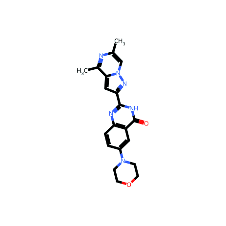 Cc1cn2nc(-c3nc4ccc(N5CCOCC5)cc4c(=O)[nH]3)cc2c(C)n1